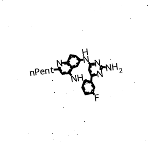 CCCCCc1cc(N)c2cc(Nc3cc(-c4cccc(F)c4)nc(N)n3)ccc2n1